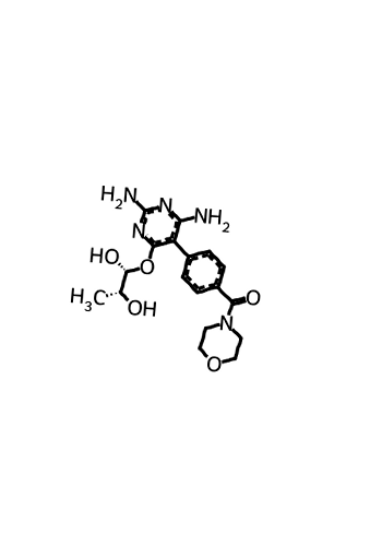 C[C@@H](O)[C@H](O)Oc1nc(N)nc(N)c1-c1ccc(C(=O)N2CCOCC2)cc1